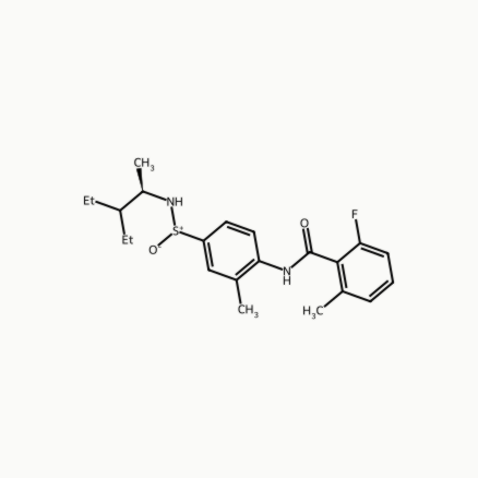 CCC(CC)[C@@H](C)N[S+]([O-])c1ccc(NC(=O)c2c(C)cccc2F)c(C)c1